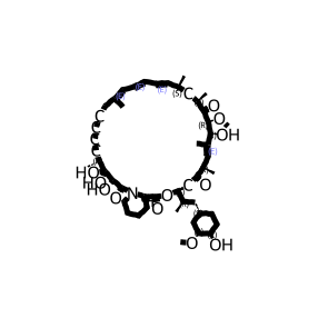 CO[C@@H]1C[C@H](C[C@@H](C)[C@@H]2CC(=O)[C@H](C)/C=C(\C)[C@@H](O)[C@@H](OC)C(=O)[C@H](C)C[C@H](C)/C=C/C=C/C=C(\C)CCCCC[C@@H](C)C(O)(O)C(O)C(=O)N3CCCC[C@H]3C(=O)O2)CC[C@H]1O